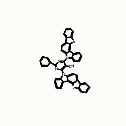 N#Cc1c(-n2c3ccccc3c3c4sc5ccccc5c4ccc32)nc(-c2ccccc2)nc1-n1c2ccccc2c2c3sc4ccccc4c3ccc21